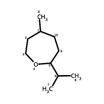 CC1CCOC(C(C)C)CC1